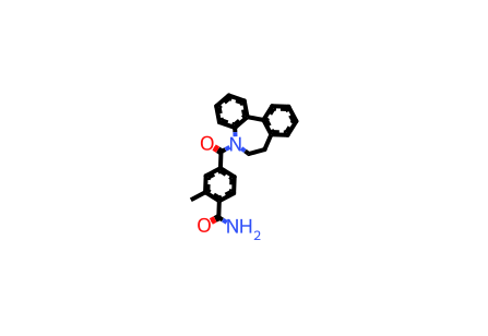 Cc1cc(C(=O)N2CCc3ccccc3-c3ccccc32)ccc1C(N)=O